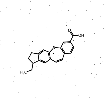 CCC1CCc2cc3c(cc21)C=Cc1ccc(C(=O)O)cc1S3